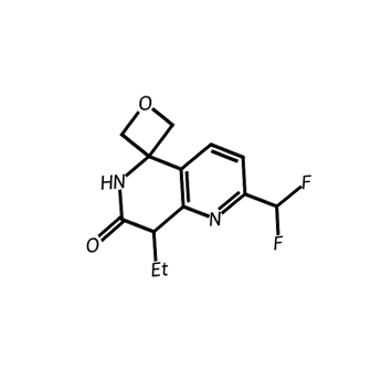 CCC1C(=O)NC2(COC2)c2ccc(C(F)F)nc21